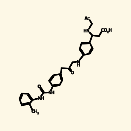 CC(=O)CNC(CC(=O)O)c1ccc(NCC(=O)Cc2ccc(NC(=O)Nc3ccccc3C)cc2)cc1